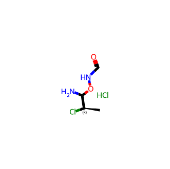 C[C@@H](Cl)C(N)ONC=O.Cl